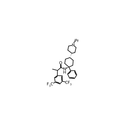 CC(C(=O)N[C@]1(c2ccccc2)CC[C@@H](C2CCN(C(C)C)CC2)CC1)c1cc(C(F)(F)F)cc(C(F)(F)F)c1